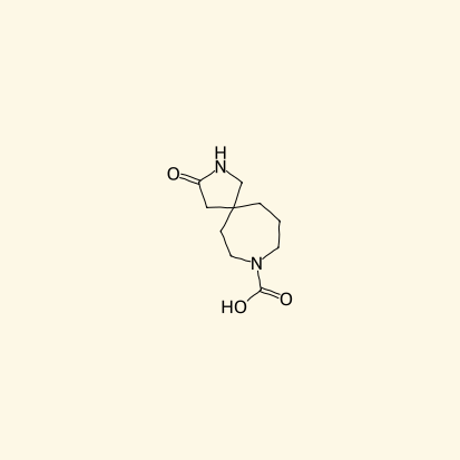 O=C1CC2(CCCN(C(=O)O)CC2)CN1